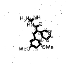 COc1cc(/C=C(/C(=O)NC(=N)N)c2cccnc2)cc(OC)c1